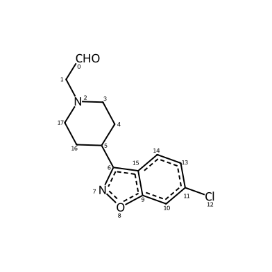 O=CCN1CCC(c2noc3cc(Cl)ccc23)CC1